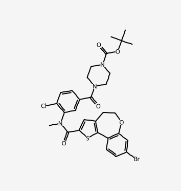 CN(C(=O)c1cc2c(s1)-c1ccc(Br)cc1OCC2)c1cc(C(=O)N2CCN(C(=O)OC(C)(C)C)CC2)ccc1Cl